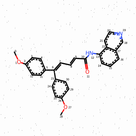 COc1ccc(C(=C/C=C/C(=O)Nc2cccc3cnccc23)c2ccc(OC)cc2)cc1